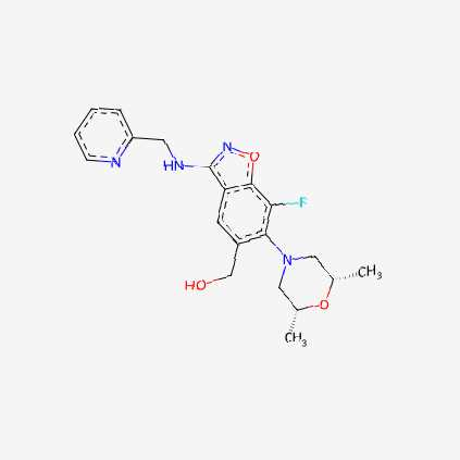 C[C@@H]1CN(c2c(CO)cc3c(NCc4ccccn4)noc3c2F)C[C@H](C)O1